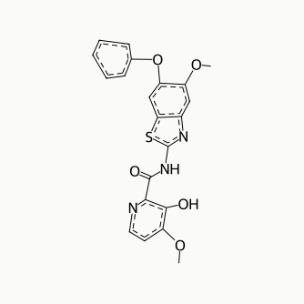 COc1cc2nc(NC(=O)c3nccc(OC)c3O)sc2cc1Oc1ccccc1